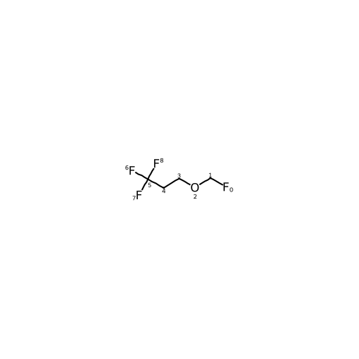 FCOCCC(F)(F)F